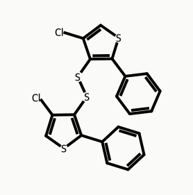 Clc1csc(-c2ccccc2)c1SSc1c(Cl)csc1-c1ccccc1